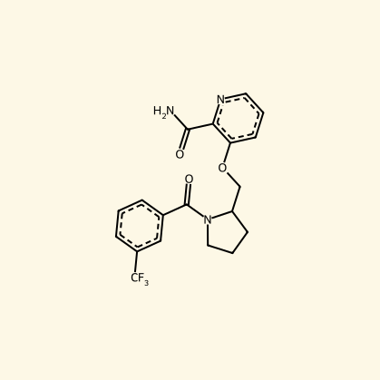 NC(=O)c1ncccc1OCC1CCCN1C(=O)c1cccc(C(F)(F)F)c1